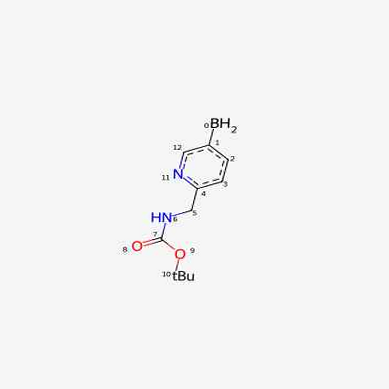 Bc1ccc(CNC(=O)OC(C)(C)C)nc1